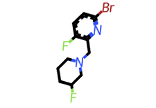 Fc1ccc(Br)nc1CN1CCCC(F)C1